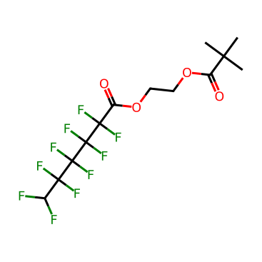 CC(C)(C)C(=O)OCCOC(=O)C(F)(F)C(F)(F)C(F)(F)C(F)(F)C(F)F